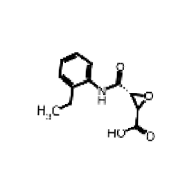 CCc1ccccc1NC(=O)[C@@H]1O[C@H]1C(=O)O